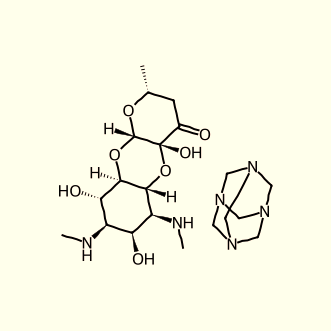 C1N2CN3CN1CN(C2)C3.CN[C@@H]1[C@H](O)[C@H](NC)[C@H]2O[C@@]3(O)C(=O)C[C@@H](C)O[C@H]3O[C@@H]2[C@H]1O